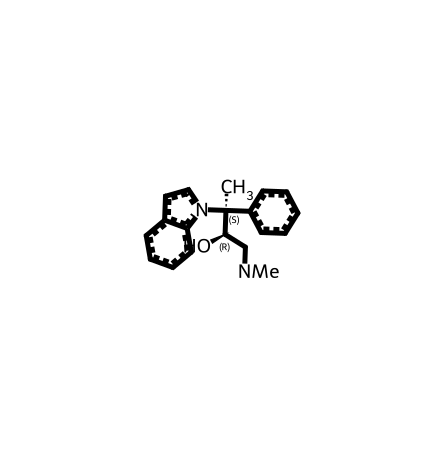 CNC[C@@H](O)[C@](C)(c1ccccc1)n1ccc2ccccc21